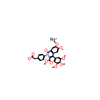 COC(=O)c1c(-c2cc(OC)c(OC)c(OC)c2)c2cc(OC)c(OC)cc2c(=O)n1-c1ccc(CC(=O)[O-])cc1.[Na+]